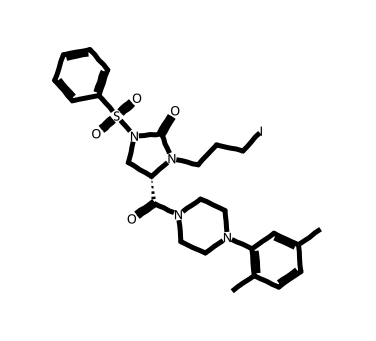 Cc1ccc(C)c(N2CCN(C(=O)[C@@H]3CN(S(=O)(=O)c4ccccc4)C(=O)N3CCCI)CC2)c1